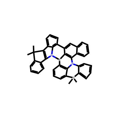 CC1(C)c2ccccc2-c2c1c1cccc3c1n2B1c2cccc4c2N(c2ccccc2[Si]4(C)C)c2c1c-3cc1ccccc21